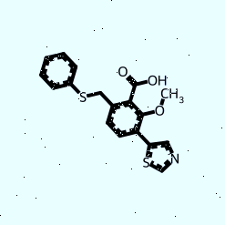 COc1c(-c2cncs2)ccc(CSc2ccccc2)c1C(=O)O